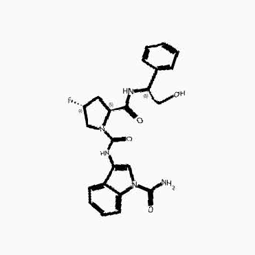 NC(=O)n1cc(NC(=O)N2C[C@H](F)C[C@H]2C(=O)N[C@H](CO)c2ccccc2)c2ccccc21